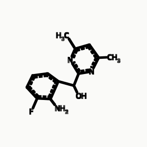 Cc1cc(C)nc(C(O)c2cccc(F)c2N)n1